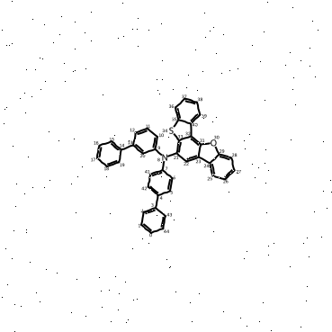 c1ccc(-c2ccc(N(c3cccc(-c4ccccc4)c3)c3cc4c5ccccc5oc4c4c3sc3ccccc34)cc2)cc1